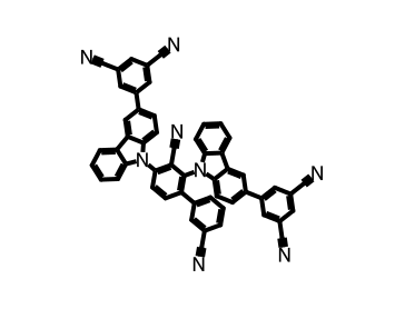 N#Cc1cc(C#N)cc(-c2ccc3c(c2)c2ccccc2n3-c2ccc(-c3cccc(C#N)c3)c(-n3c4ccccc4c4cc(-c5cc(C#N)cc(C#N)c5)ccc43)c2C#N)c1